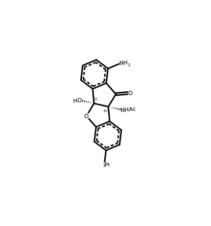 CC(=O)N[C@@]12C(=O)c3c(N)cccc3[C@]1(O)Oc1cc(C(C)C)ccc12